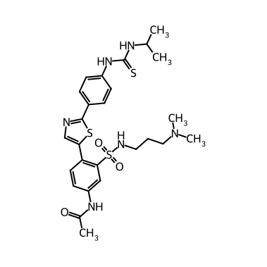 CC(=O)Nc1ccc(-c2cnc(-c3ccc(NC(=S)NC(C)C)cc3)s2)c(S(=O)(=O)NCCCN(C)C)c1